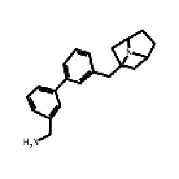 CN1C2CCC1CC(Cc1cccc(-c3cccc(CN)c3)c1)C2